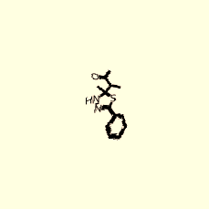 CC(=O)C(C)C1(C)NN=C(c2ccccc2)S1